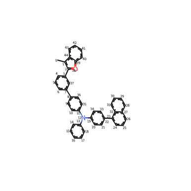 Cc1c(-c2cccc(-c3ccc(N(c4ccccc4)c4ccc(-c5cccc6ccccc56)cc4)cc3)c2)oc2ccccc12